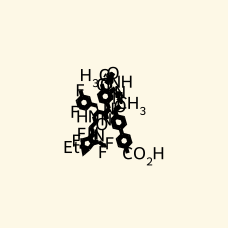 CCC12CC1c1c(C(F)F)nn(CC(=O)N[C@@H](Cc3cc(F)cc(F)c3)c3nc4cc(-c5ccc(C(=O)O)cc5)ccc4c(=O)n3-c3ccc(Cl)c4c(NS(C)(=O)=O)nn(C)c34)c1C2(F)F